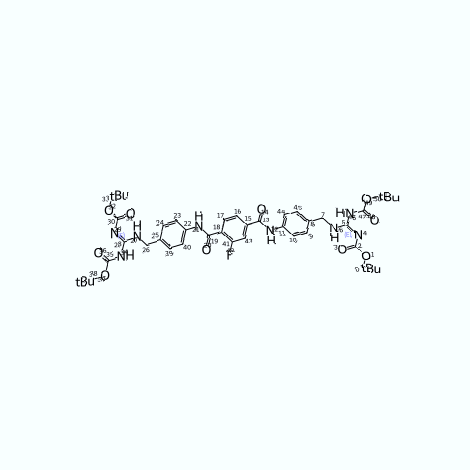 CC(C)(C)OC(=O)/N=C(\NCc1ccc(NC(=O)c2ccc(C(=O)Nc3ccc(CN/C(=N\C(=O)OC(C)(C)C)NC(=O)OC(C)(C)C)cc3)c(F)c2)cc1)NC(=O)OC(C)(C)C